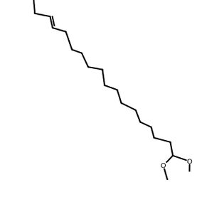 COC(CCCCCCCCCCCCC/C=C/CCBr)OC